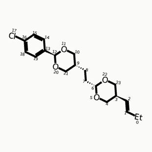 CCC=C[C@H]1CO[C@H](CC[C@H]2CO[C@H](c3ccc(Cl)cc3)OC2)OC1